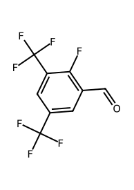 O=Cc1cc(C(F)(F)F)cc(C(F)(F)F)c1F